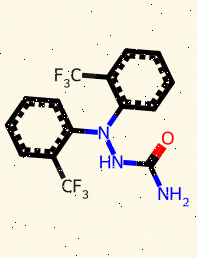 NC(=O)NN(c1ccccc1C(F)(F)F)c1ccccc1C(F)(F)F